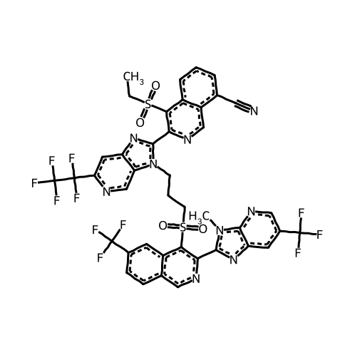 CCS(=O)(=O)c1c(-c2nc3cc(C(F)(F)C(F)(F)F)ncc3n2CCCS(=O)(=O)c2c(-c3nc4cc(C(F)(F)F)cnc4n3C)ncc3ccc(C(F)(F)F)cc23)ncc2c(C#N)cccc12